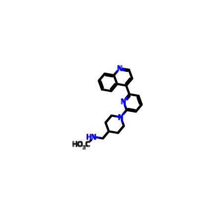 O=C(O)NCC1CCN(c2cccc(-c3ccnc4ccccc34)n2)CC1